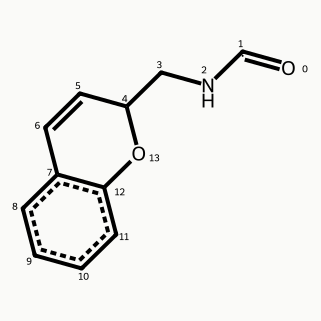 O=[C]NCC1C=Cc2ccccc2O1